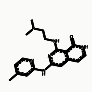 Cc1ccnc(Nc2cc3cc[nH]c(=O)c3c(NCCN(C)C)n2)c1